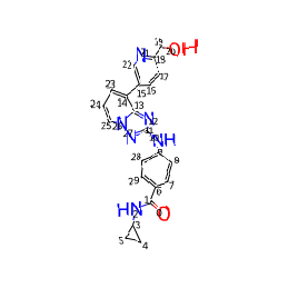 O=C(NC1CC1)c1ccc(Nc2nc3c(-c4ccc(CO)nc4)cccn3n2)cc1